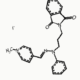 C[n+]1ccc(/C=N/N(CCCN2C(=O)c3ccccc3C2=O)c2ccccc2)cc1.[I-]